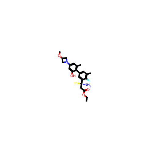 CCOC(=O)C[C@](N)(S)c1cc(-c2c(C)cc(N3CC(OC)C3)cc2O)cc(C)c1F